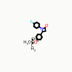 C[Si](C)(C)Oc1ccc(C2CC(=O)N2c2ccc(F)cc2)cc1